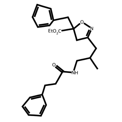 CCOC(=O)C1(Cc2ccccc2)CC(CC(C)CNC(=O)CCc2ccccc2)=NO1